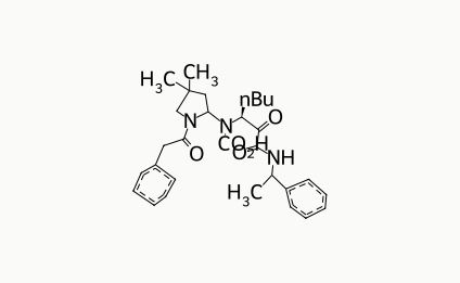 CCCC[C@@H](C(=O)C(=O)NC(C)c1ccccc1)N(C(=O)O)C1CC(C)(C)CN1C(=O)Cc1ccccc1